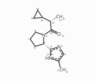 Cc1cnc([C@@H]2CCCN2C(=O)[C@@H](C)C2CC2)[nH]1